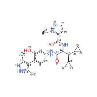 CCc1n[nH]c(CC)c1-c1ccc(NC(=O)C(NC(=O)c2ccnn2C(C)C)C(C2CC2)C2CC2)cc1O